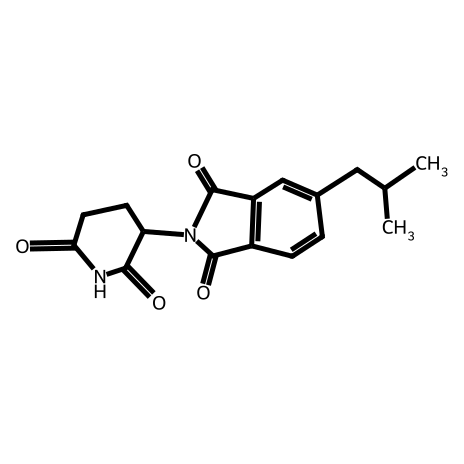 CC(C)Cc1ccc2c(c1)C(=O)N(C1CCC(=O)NC1=O)C2=O